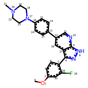 COc1ccc(-c2n[nH]c3ncc(-c4ccc(N5CCN(C)CC5)cc4)cc23)c(F)c1